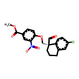 COC(=O)c1ccc(OC[C@@]2(C=O)CCCc3cc(Cl)ccc32)c([N+](=O)[O-])c1